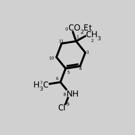 CCOC(=O)C1(C)CC=C(C(C)NCl)CC1